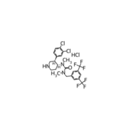 CN(Cc1cc(C(F)(F)F)cc(C(F)(F)F)c1)C(=O)N(C)[C@@H]1CCNC[C@H]1c1ccc(Cl)c(Cl)c1.Cl